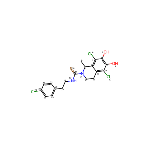 CC1c2c(Cl)c(O)c(O)c(Cl)c2CCN1C(=S)NCCc1ccc(Cl)cc1